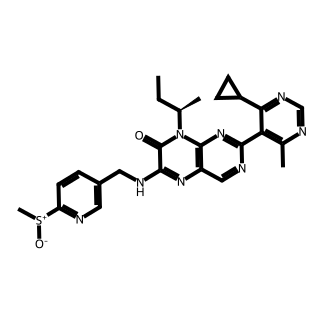 CC[C@@H](C)n1c(=O)c(NCc2ccc([S+](C)[O-])nc2)nc2cnc(-c3c(C)ncnc3C3CC3)nc21